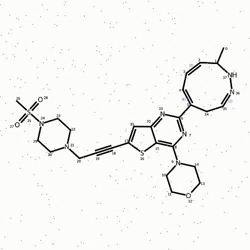 CC1/C=C\C=C(\c2nc(N3CCOCC3)c3sc(C#CCN4CCN(S(C)(=O)=O)CC4)cc3n2)C/C=N\N1